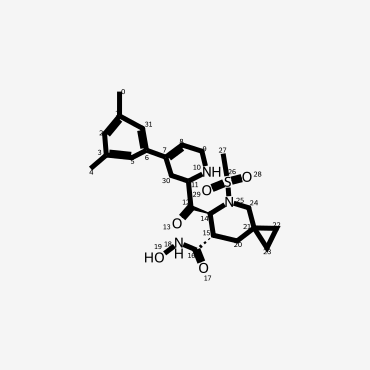 Cc1cc(C)cc(C2=CCNC(C(=O)[C@@H]3[C@@H](C(=O)NO)CC4(CC4)CN3S(C)(=O)=O)C2)c1